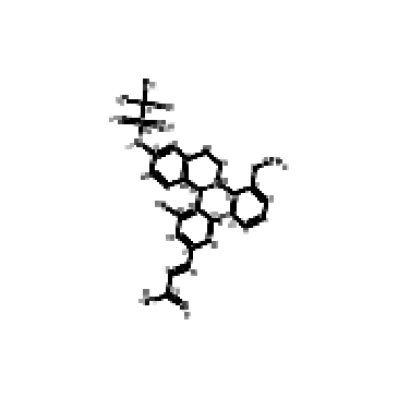 CCc1ccccc1N1CCc2cc(OS(=O)(=O)C(F)(F)F)ccc2C1c1c(F)cc(/C=C/C(=O)O)cc1F